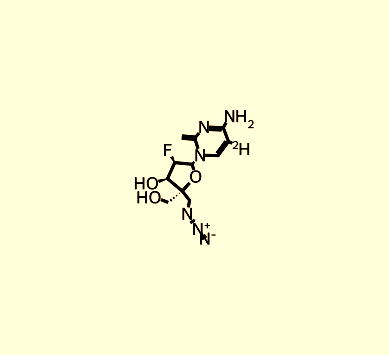 [2H]C1=CN([C@@H]2O[C@@](CO)(CN=[N+]=[N-])[C@@H](O)[C@H]2F)C(=C)N=C1N